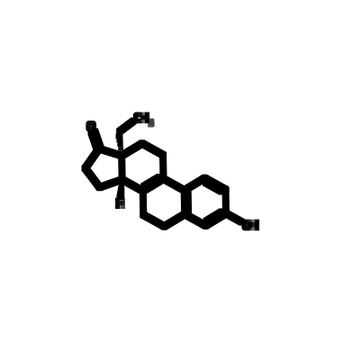 CC[C@]12CCC3=C(CCc4cc(O)ccc43)[C@@H]1CCC2=O